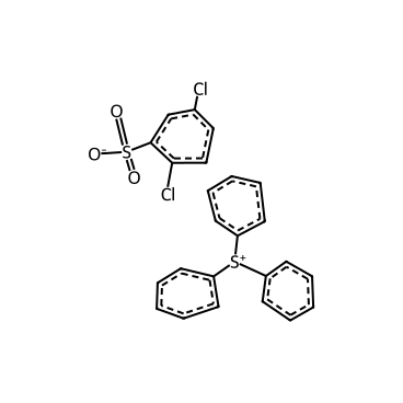 O=S(=O)([O-])c1cc(Cl)ccc1Cl.c1ccc([S+](c2ccccc2)c2ccccc2)cc1